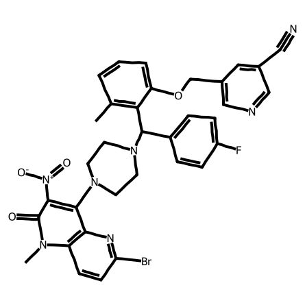 Cc1cccc(OCc2cncc(C#N)c2)c1C(c1ccc(F)cc1)N1CCN(c2c([N+](=O)[O-])c(=O)n(C)c3ccc(Br)nc23)CC1